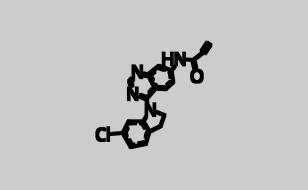 C#CC(=O)Nc1ccc2c(N3CCc4ccc(Cl)cc43)ncnc2c1